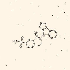 NS(=O)(=O)c1ccc2c(c1)[C@@H](O)[C@H]([C@H]1c3ccccc3-c3cncn31)CC2